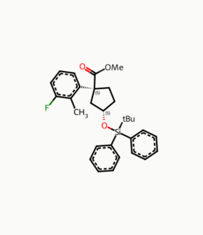 COC(=O)[C@@]1(c2cccc(F)c2C)CC[C@H](O[Si](c2ccccc2)(c2ccccc2)C(C)(C)C)C1